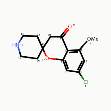 COc1cc(Cl)cc2c1C(=O)CC1(CCNCC1)O2